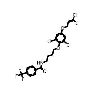 O=C(NCCCCOc1c(Cl)cc(OCC=C(Cl)Cl)cc1Cl)c1ccc(C(F)(F)F)cc1